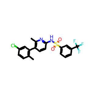 Cc1ccc(Cl)cc1-c1ccc(NS(=O)(=O)c2cccc(C(F)(F)F)c2)nc1C